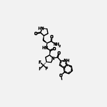 COc1cccc2[nH]c(C(=O)N3C[C@H](C(F)(F)F)C[C@H]3C(=O)N[C@@H](C[C@@H]3CCNC3=O)C(N)=O)cc12